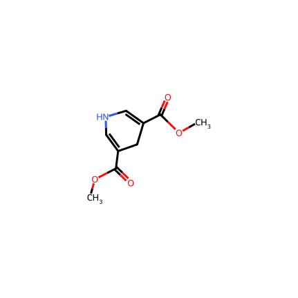 COC(=O)C1=CNC=C(C(=O)OC)C1